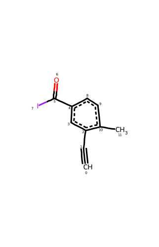 C#Cc1cc(C(=O)I)ccc1C